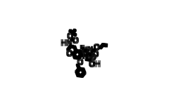 C=CCOC(=O)NS(=O)(=O)N(CC(=O)O)c1c(OCc2ccccc2)cc2c(c1F)C[C@H](NC(=O)OC(C)(C)C)CO2